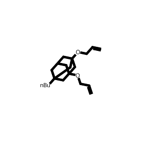 C=CCOC12CC3CC(CCCC)(C1)CC(OCC=C)(C3)C2